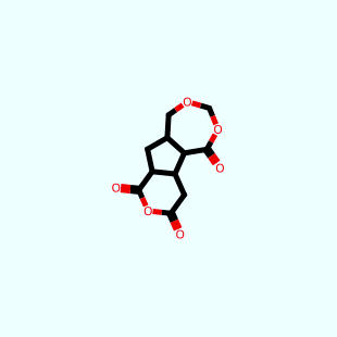 O=C1CC2C(CC3COCOC(=O)C32)C(=O)O1